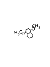 COc1ccc(OC)c2c1[CH]C=CC2